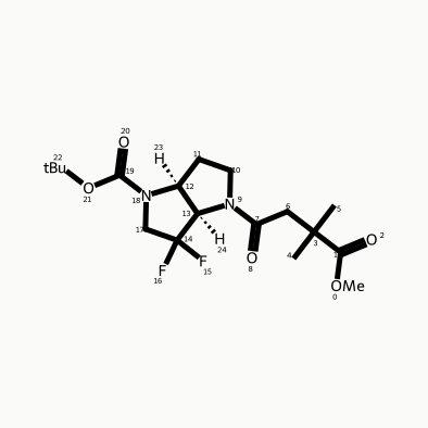 COC(=O)C(C)(C)CC(=O)N1CC[C@H]2[C@@H]1C(F)(F)CN2C(=O)OC(C)(C)C